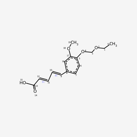 CCOCOc1ccc(/C=C/C=C/C(=O)O)cc1OC